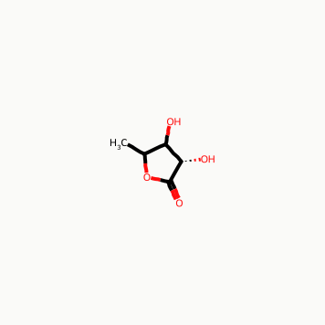 CC1OC(=O)[C@@H](O)C1O